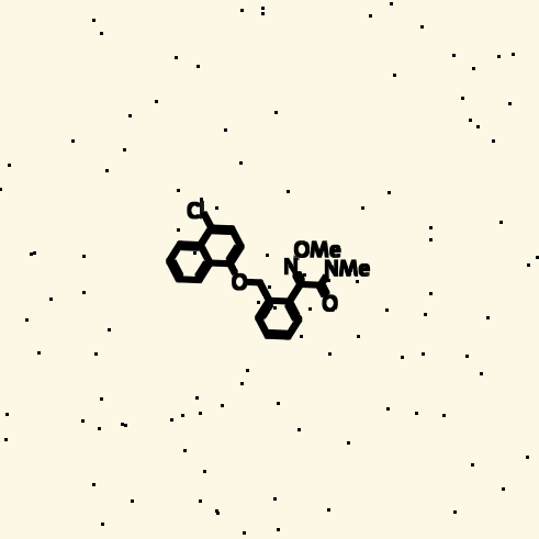 CNC(=O)C(=NOC)c1ccccc1COc1ccc(Cl)c2ccccc12